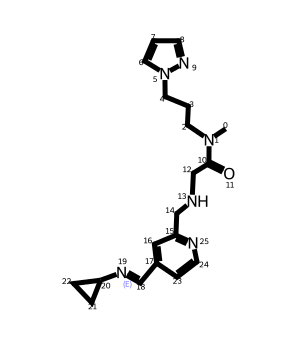 CN(CCCn1cccn1)C(=O)CNCc1cc(/C=N/C2CC2)ccn1